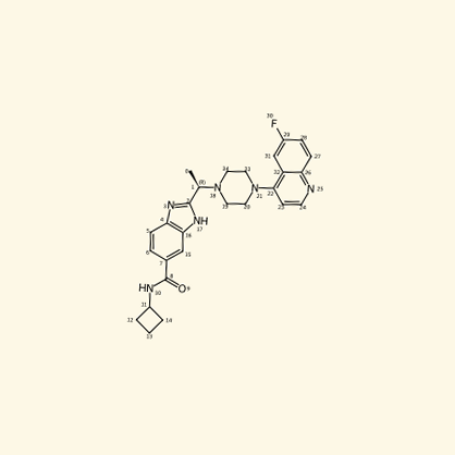 C[C@H](c1nc2ccc(C(=O)NC3CCC3)cc2[nH]1)N1CCN(c2ccnc3ccc(F)cc23)CC1